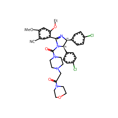 CCOc1cc(OC)c(C#N)cc1C1=N[C@@H](c2ccc(Cl)cc2)[C@@H](c2ccc(Cl)cc2)N1C(=O)N1CCN(CC(=O)N2CCOCC2)CC1